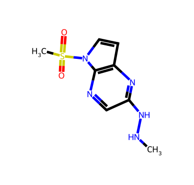 CNNc1cnc2c(ccn2S(C)(=O)=O)n1